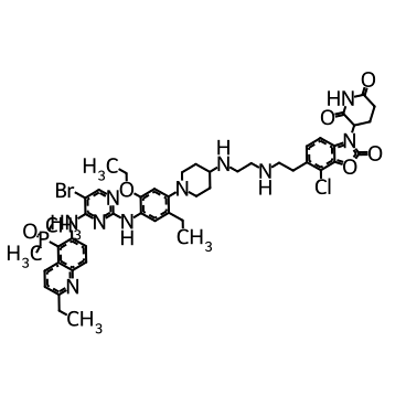 CCOc1cc(N2CCC(NCCNCCc3ccc4c(oc(=O)n4C4CCC(=O)NC4=O)c3Cl)CC2)c(CC)cc1Nc1ncc(Br)c(Nc2ccc3nc(CC)ccc3c2P(C)(C)=O)n1